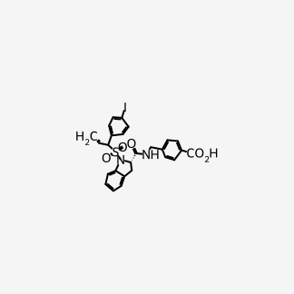 C=CC(c1ccc(I)cc1)S(=O)(=O)N1c2ccccc2C[C@H]1C(=O)NCc1ccc(C(=O)O)cc1